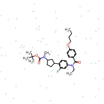 CCCCOc1ccc(C(=O)N(CC)c2ccc(C3CCC(N(C)C(=O)OC(C)(C)C)C3)c(F)c2)cc1